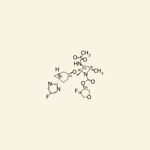 C[C@@H]1C[C@H](NS(C)(=O)=O)[C@H](CO[C@H]2CC[C@@]3(c4ncc(F)cn4)C[C@H]3C2)N1C(=O)O[C@H]1COC[C@@H]1F